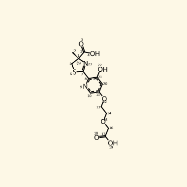 C[C@]1(C(=O)O)CSC(c2ncc(OCCOCC(=O)O)cc2O)=N1